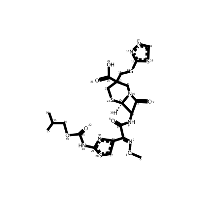 CON=C(C(=O)NC1C(=O)N2CC(CSc3nncs3)(C(=O)O)CS[C@H]12)c1csc(NC(=O)OCC(C)C)n1